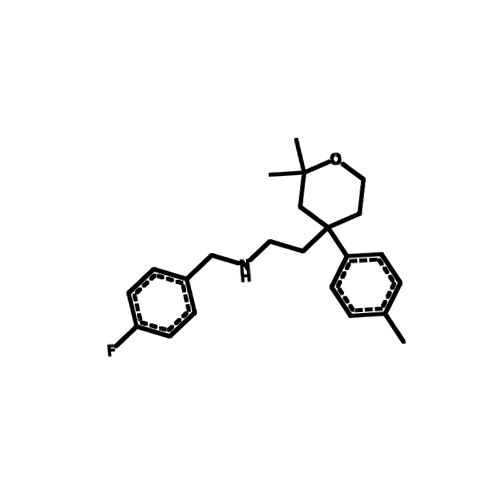 Cc1ccc(C2(CCNCc3ccc(F)cc3)CCOC(C)(C)C2)cc1